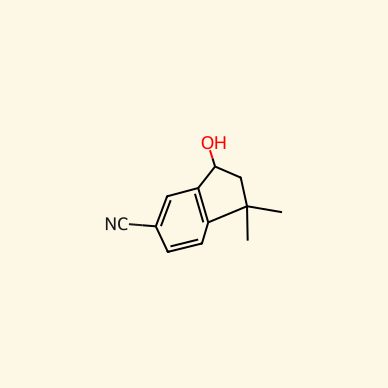 CC1(C)CC(O)c2cc(C#N)ccc21